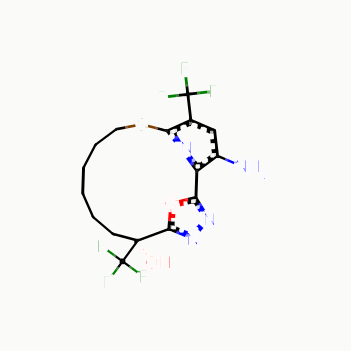 Nc1cc(C(F)(F)F)c2nc1-c1nnc(o1)[C@@](O)(C(F)(F)F)CCCCCCS2